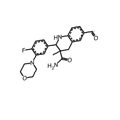 CC1(C(N)=O)Cc2cc([C]=O)ccc2NC1c1ccc(F)c(N2CCOCC2)c1